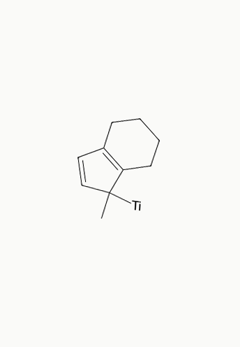 C[C]1([Ti])C=CC2=C1CCCC2